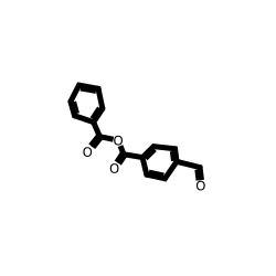 O=Cc1ccc(C(=O)OC(=O)c2ccccc2)cc1